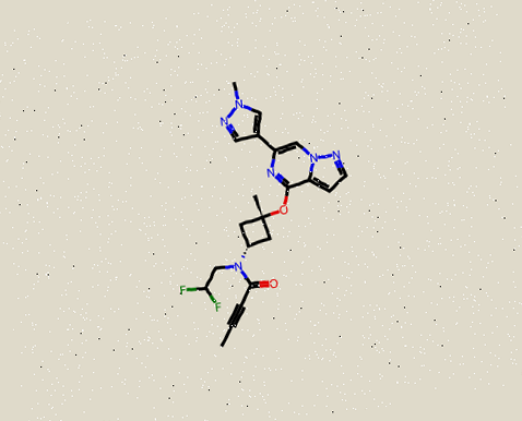 CC#CC(=O)N(CC(F)F)[C@H]1C[C@@](C)(Oc2nc(-c3cnn(C)c3)cn3nccc23)C1